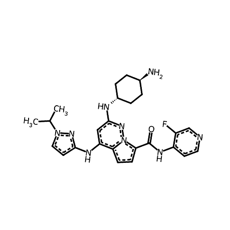 CC(C)n1ccc(Nc2cc(N[C@H]3CC[C@H](N)CC3)nn3c(C(=O)Nc4ccncc4F)ccc23)n1